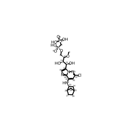 CO[C@H](COP(=O)(O)CP(=O)(O)O)[C@@H](O)[C@@H](O)c1cnc2c(N[C@H]3CC4CCC3C4)cc(Cl)nn12